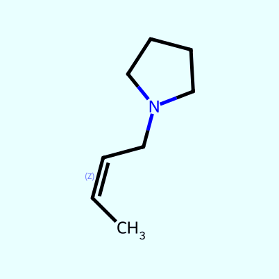 C/C=C\CN1CCCC1